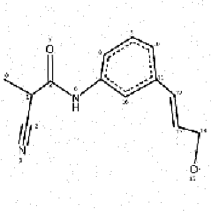 CC(C#N)C(=O)Nc1cccc(C=CC[O])c1